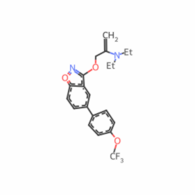 C=C(COc1noc2ccc(-c3ccc(OC(F)(F)F)cc3)cc12)N(CC)CC